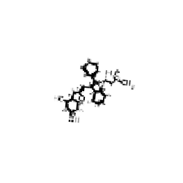 CN(C)CCn1c(-c2ccccc2)c(C=C2Cc3c(O)cc(O)cc3O2)c2ccccc21